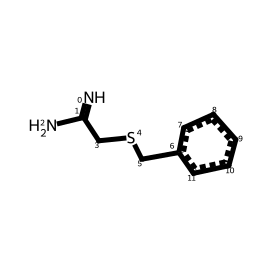 N=C(N)CSCc1ccccc1